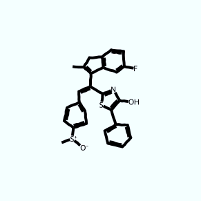 CC1=C(C(=Cc2ccc([S+](C)[O-])cc2)c2nc(O)c(-c3ccccc3)s2)c2cc(F)ccc2C1